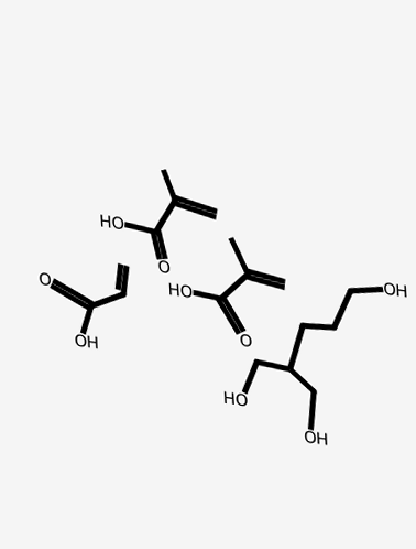 C=C(C)C(=O)O.C=C(C)C(=O)O.C=CC(=O)O.OCCCC(CO)CO